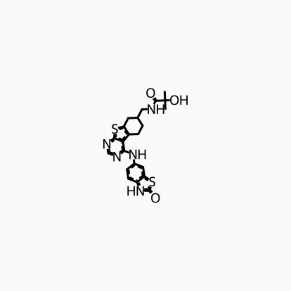 CC(C)(O)C(=O)NCC1CCc2c(sc3ncnc(Nc4ccc5[nH]c(=O)sc5c4)c23)C1